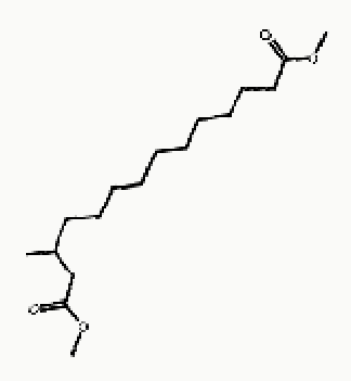 COC(=O)CCCCCCCCCCC(C)CC(=O)OC